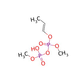 CC=COP(=O)(OC)OP(=O)(O)OC